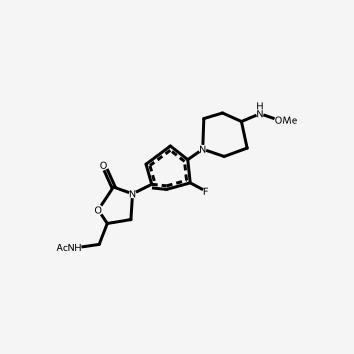 CONC1CCN(c2ccc(N3CC(CNC(C)=O)OC3=O)cc2F)CC1